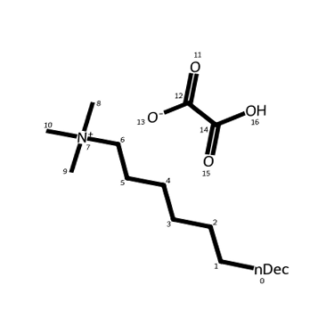 CCCCCCCCCCCCCCCC[N+](C)(C)C.O=C([O-])C(=O)O